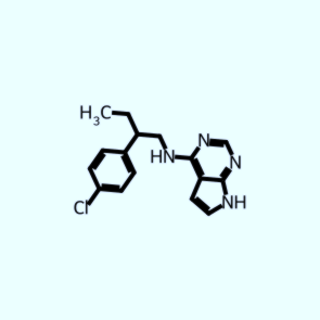 CCC(CNc1ncnc2[nH]ccc12)c1ccc(Cl)cc1